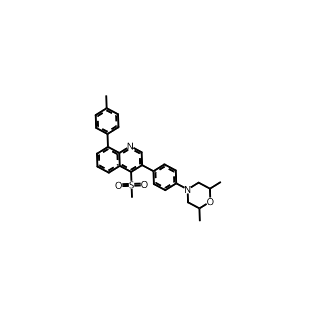 Cc1ccc(-c2cccc3c(S(C)(=O)=O)c(-c4ccc(N5CC(C)OC(C)C5)cc4)cnc23)cc1